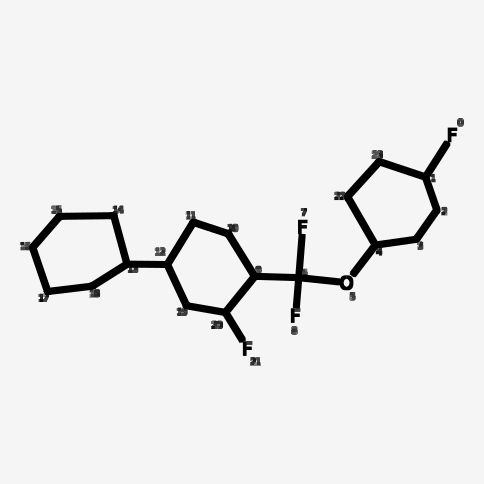 FC1CCC(OC(F)(F)C2CCC(C3CCCCC3)CC2F)CC1